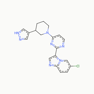 Clc1ccc2ncc(-c3nccc(N4CCCC(c5cn[nH]c5)C4)n3)n2c1